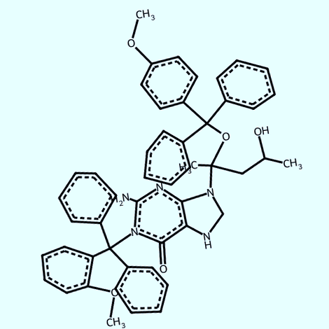 COc1ccc(C(OC(C)(CC(C)O)N2CNc3c2nc(N)n(C(c2ccccc2)(c2ccccc2)c2ccccc2OC)c3=O)(c2ccccc2)c2ccccc2)cc1